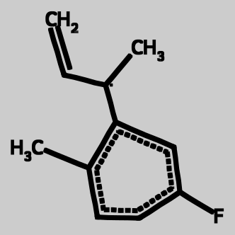 C=C[C](C)c1cc(F)ccc1C